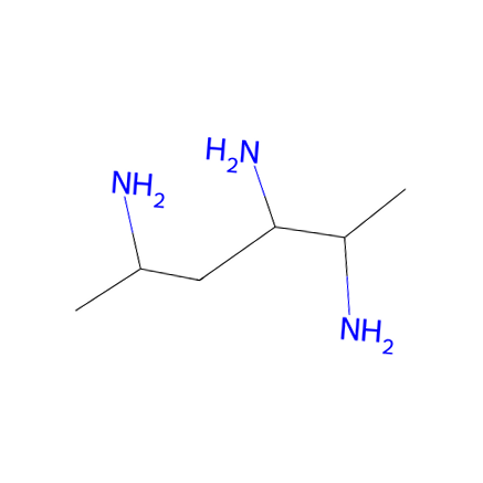 CC(N)CC(N)C(C)N